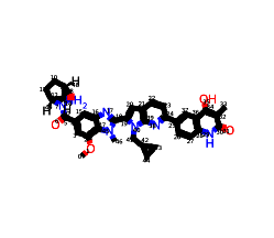 COc1cc(C(=O)N2C[C@H]3CC[C@@H]2[C@@H]3N)cc2nc(-c3cc4ccc(-c5ccc6[nH]c(=O)c(C)c(O)c6c5)nc4n3CC3CC3)n(C)c12